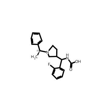 C[C@@H](c1ccccc1)N1CCC(C(NC(=O)O)c2ccccc2F)C1